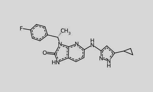 C[C@@H](c1ccc(F)cc1)n1c(=O)[nH]c2ccc(Nc3cc(C4CC4)[nH]n3)nc21